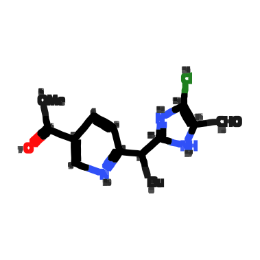 CCC(C)C(c1ccc(C(=O)OC)cn1)c1nc(Cl)c(C=O)[nH]1